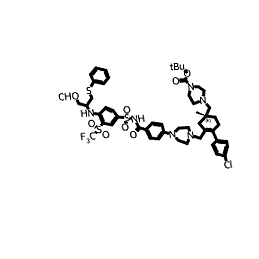 CC(C)(C)OC(=O)N1CCN(C[C@]2(C)CCC(c3ccc(Cl)cc3)=C(CN3CCN(c4ccc(C(=O)NS(=O)(=O)c5ccc(NC(CC=O)CSc6ccccc6)c(S(=O)(=O)C(F)(F)F)c5)cc4)CC3)C2)CC1